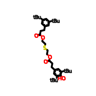 CC(C)(C)c1cc(CCC(=O)OCCSCCOC(=O)CCc2cc(C(C)(C)C)c(O)c(C(C)(C)C)c2)cc(C(C)(C)C)c1